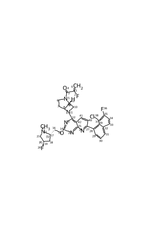 C=C(F)C(=O)N1CCC2[C@H]1CN2c1nc(OC[C@@H]2C[C@@H](F)CN2C)nc2nc(-c3cccc4ccc(F)c(Cl)c34)ccc12